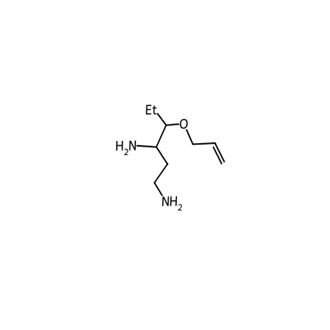 C=CCOC(CC)C(N)CCN